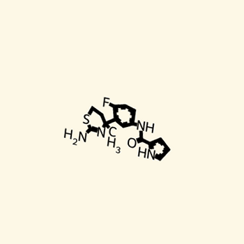 CC1(c2cc(NC(=O)c3ccc[nH]3)ccc2F)CCSC(N)=N1